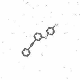 CC(=O)c1ccc(Oc2cccc(C#Cc3ccccc3)c2)cc1